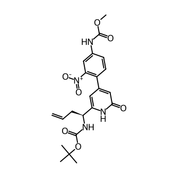 C=CC[C@H](NC(=O)OC(C)(C)C)c1cc(-c2ccc(NC(=O)OC)cc2[N+](=O)[O-])cc(=O)[nH]1